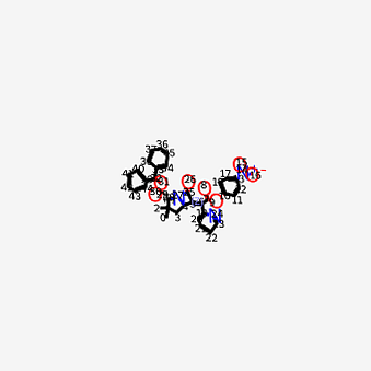 CC1(C)CC2/C(=C(/C(=O)Oc3ccc([N+](=O)[O-])cc3)c3ccccn3)C(=O)N2[C@H]1C(=O)OC(c1ccccc1)c1ccccc1